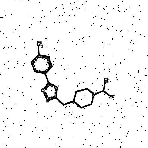 CCC(CC)N1CCC(Cc2noc(-c3ccc(C(F)(F)F)cc3)n2)CC1